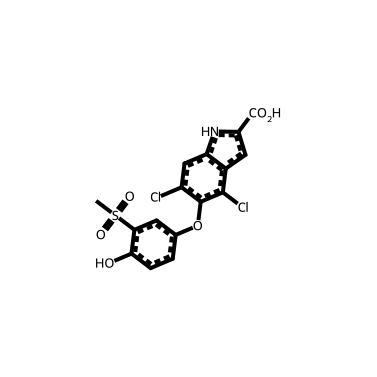 CS(=O)(=O)c1cc(Oc2c(Cl)cc3[nH]c(C(=O)O)cc3c2Cl)ccc1O